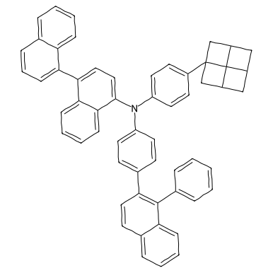 c1ccc(-c2c(-c3ccc(N(c4ccc(C56CC7CC8CC(C5)C876)cc4)c4ccc(-c5cccc6ccccc56)c5ccccc45)cc3)ccc3ccccc23)cc1